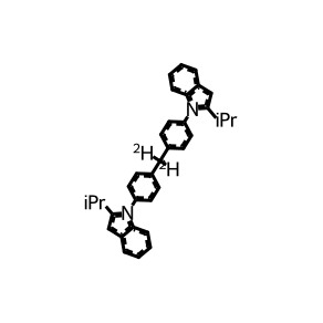 [2H]C([2H])(c1ccc(-n2c(C(C)C)cc3ccccc32)cc1)c1ccc(-n2c(C(C)C)cc3ccccc32)cc1